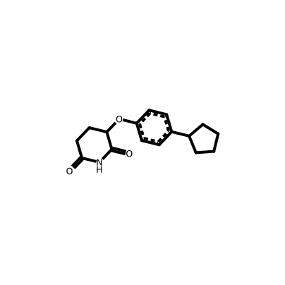 O=C1CCC(Oc2ccc(C3CCCC3)cc2)C(=O)N1